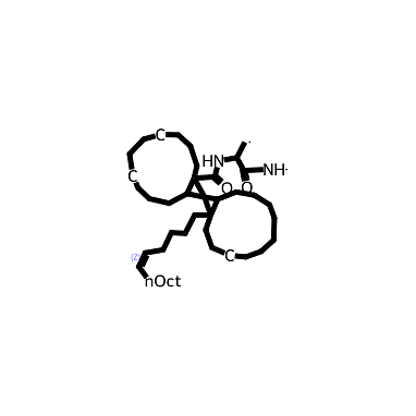 [CH2]C(NC(=O)C12CCCCCCCCCCC1C21C2CCCCCCCCCCC21CCCC/C=C\CCCCCCCC)C([NH])=O